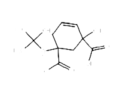 CC(C)(C)OC1(C(=O)O)CC=CC(C)(C(=O)O)C1